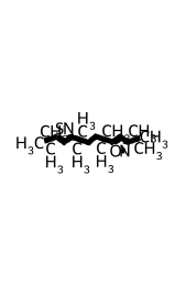 CC(C)(C)c1cc(C(C)(C)CCC(C)(C)c2cc(C(C)(C)C)sn2)on1